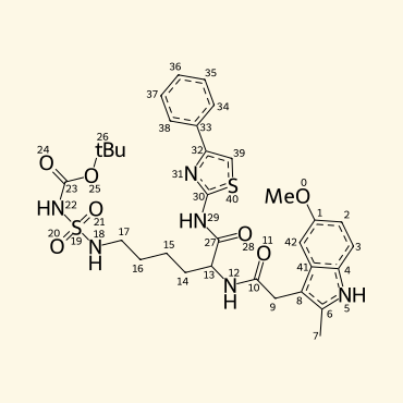 COc1ccc2[nH]c(C)c(CC(=O)NC(CCCCNS(=O)(=O)NC(=O)OC(C)(C)C)C(=O)Nc3nc(-c4ccccc4)cs3)c2c1